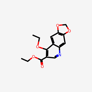 CCOC(=O)c1cnc2cc3c(cc2c1OCC)OCO3